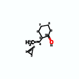 C1=CC1.C=CC1CCCCC1=O